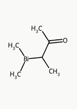 CC(=O)[CH](C)[Bi]([CH3])[CH3]